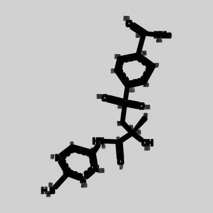 Bc1ncc(NC(=O)[C@@](C)(O)CS(=O)(=O)c2ccc(C(=O)NC)cc2)nn1